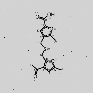 CC(=O)c1cc(C)oc1CSCc1cc(C(=O)O)oc1C